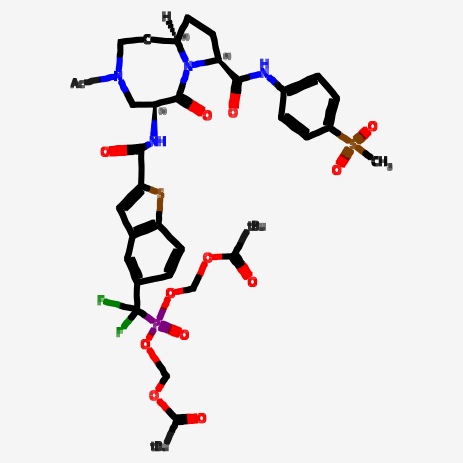 CC(=O)N1CC[C@H]2CC[C@@H](C(=O)Nc3ccc(S(C)(=O)=O)cc3)N2C(=O)[C@@H](NC(=O)c2cc3cc(C(F)(F)P(=O)(OCOC(=O)C(C)(C)C)OCOC(=O)C(C)(C)C)ccc3s2)C1